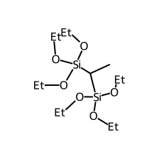 CCO[Si](OCC)(OCC)C(C)[Si](OCC)(OCC)OCC